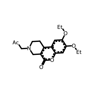 CCOc1cc2oc(=O)c3c(c2cc1OCC)CCN(CC(C)=O)C3